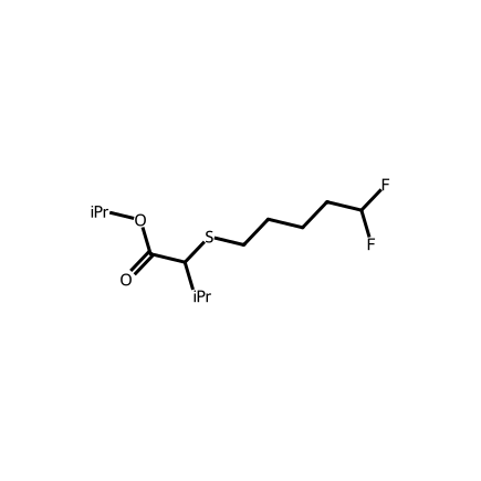 CC(C)OC(=O)C(SCCCCC(F)F)C(C)C